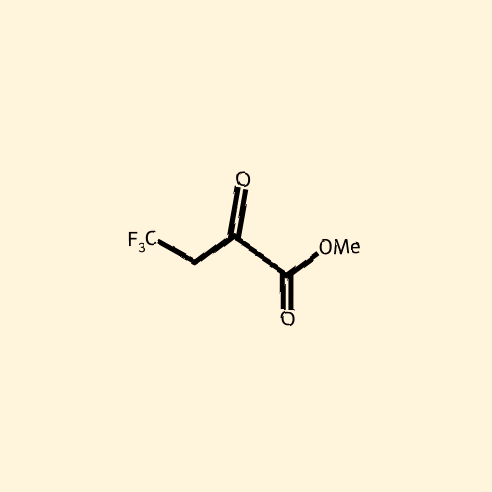 COC(=O)C(=O)CC(F)(F)F